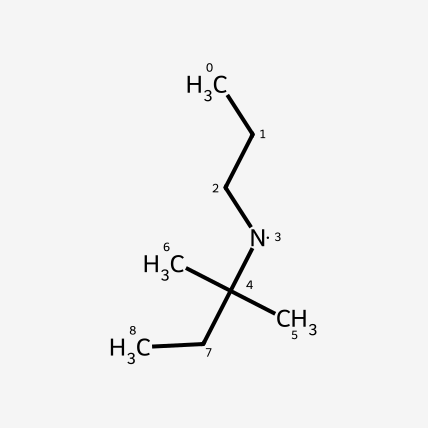 CCC[N]C(C)(C)CC